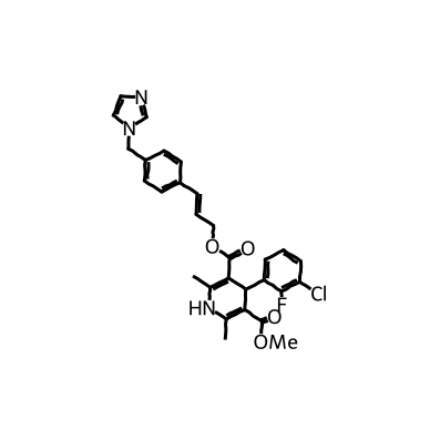 COC(=O)C1=C(C)NC(C)=C(C(=O)OCC=Cc2ccc(Cn3ccnc3)cc2)C1c1cccc(Cl)c1F